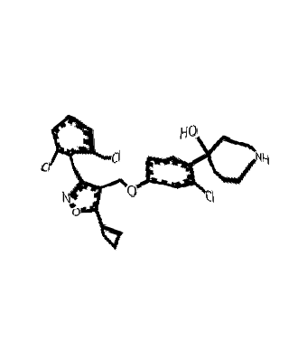 OC1(c2ccc(OCc3c(-c4c(Cl)cccc4Cl)noc3C3CC3)cc2Cl)CCNCC1